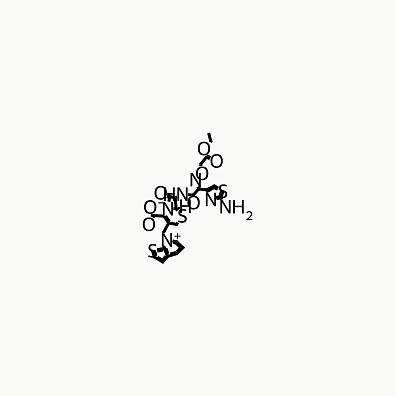 CCOC(=O)CON=C(C(=O)NC1C(=O)N2C(C(=O)[O-])=C(C[n+]3cccc4ccsc43)CS[C@@H]12)c1csc(N)n1